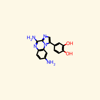 Nc1ccc2nc(N)c3ncc(-c4ccc(O)c(O)c4)n3c2c1